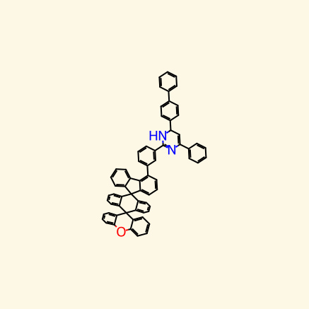 C1=C(c2ccccc2)N=C(c2cccc(-c3cccc4c3-c3ccccc3C43c4ccccc4C4(c5ccccc5Oc5ccccc54)c4ccccc43)c2)NC1c1ccc(-c2ccccc2)cc1